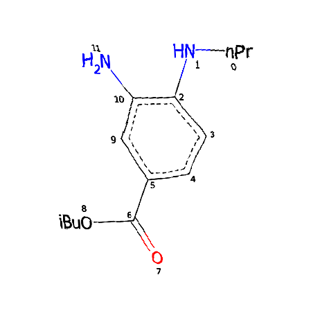 CCCNc1ccc(C(=O)OCC(C)C)cc1N